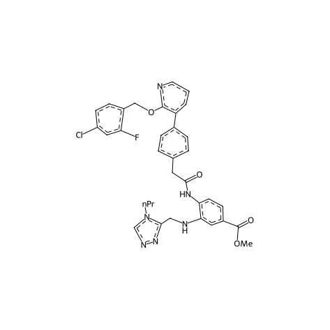 CCCn1cnnc1CNc1cc(C(=O)OC)ccc1NC(=O)Cc1ccc(-c2cccnc2OCc2ccc(Cl)cc2F)cc1